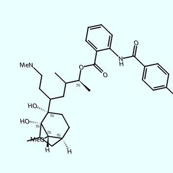 CNCCC(CC(C)[C@H](C)OC(=O)c1ccccc1NC(=O)c1ccc(Cl)cc1)[C@@]1(O)CC[C@H]2CC(C)[C@]1(O)[C@H]2OC